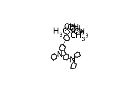 CC(C)(C)C(c1ccc(-c2ccc3c(c2)c2cc(N(c4ccccc4)c4ccccc4)ccc2n3-c2ccccc2)cc1)C(C)(C)C